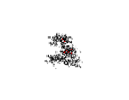 C=C[Si](C)(C)O[Si](C)(C)O[Si](C)(C)CC[Si](C)(C)O[Si](C)(O[Si](C)(C)CC[Si](C)(C)O[Si](O[Si](C)(C)CC[Si](C)(C)O[Si](C)(O[Si](C)(C)CC[Si](C)(C)O[Si](C)(C)O[Si](C)(C)C=C)c1ccccc1)(O[Si](C)(C)CC[Si](C)(C)O[Si](C)(O[Si](C)(C)CC[Si](C)(C)O[Si](C)(C)O[Si](C)(C)C=C)c1ccccc1)c1ccccc1)c1ccccc1